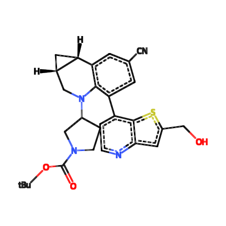 CC(C)(C)OC(=O)N1CCC(N2C[C@@H]3C[C@@H]3c3cc(C#N)cc(-c4ccnc5cc(CO)sc45)c32)C1